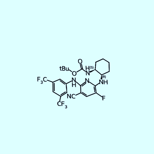 CC(C)(C)OC(=O)N[C@H]1CCCC[C@H]1Nc1nc(Nc2cc(C(F)(F)F)cc(C(F)(F)F)c2)c(C#N)cc1F